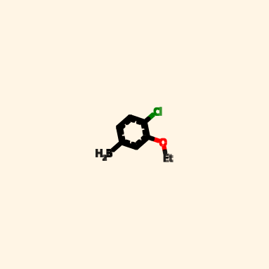 Bc1ccc(Cl)c(OCC)c1